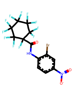 O=C(Nc1ccc([N+](=O)[O-])cc1Br)C1(F)C(F)(F)C(F)(F)C(F)(F)C(F)(F)C1(F)F